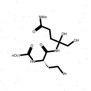 CCCCCCCCC(=O)N[C@@H](CCC(C)C)C(=O)NC(O)(CO)CCC(=O)NC